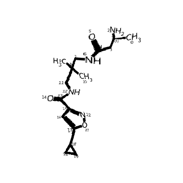 C[C@H](N)CC(=O)NCC(C)(C)CNC(=O)c1cc(C2CC2)on1